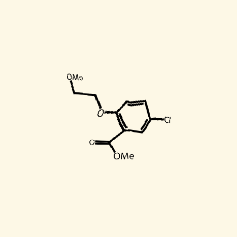 COCCOc1ccc(Cl)cc1C(=O)OC